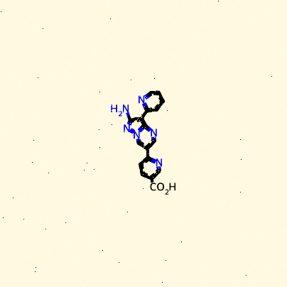 Nc1nn2cc(-c3ccc(C(=O)O)cn3)cnc2c1-c1ccccn1